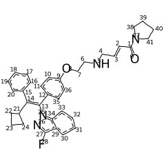 O=C(/C=C/CNCCOc1ccc(/C(=C(\c2ccccc2)C2CCC2)n2nc(F)c3ccccc32)cc1)N1CCCC1